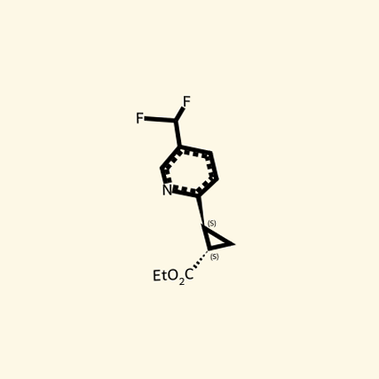 CCOC(=O)[C@H]1C[C@@H]1c1ccc(C(F)F)cn1